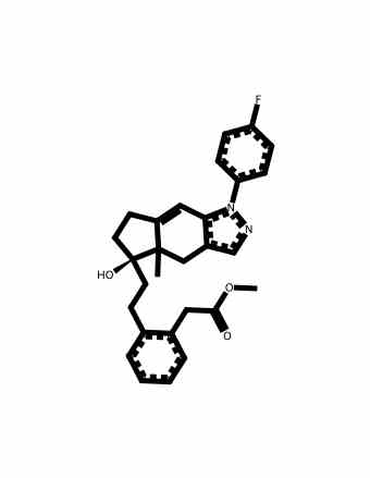 COC(=O)Cc1ccccc1CC[C@]1(O)CCC2=Cc3c(cnn3-c3ccc(F)cc3)CC21C